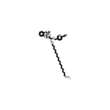 CCCCCCCCCCCCCCCCCCOC[C@H](COP(=O)(OC)Oc1ccccc1Cl)OCc1ccc(C#N)nc1